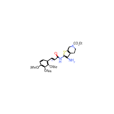 CCOC(=O)N1CCc2c(sc(NC(=O)/C=C/c3ccc(OC)c(OC)c3OC)c2N)C1